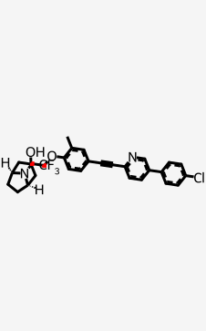 Cc1cc(C#Cc2ccc(-c3ccc(Cl)cc3)cn2)ccc1OCCN1[C@@H]2CC[C@H]1C[C@](O)(C(F)(F)F)C2